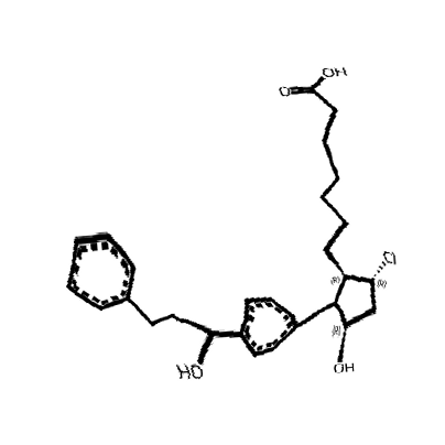 O=C(O)CCCCCC[C@@H]1C(c2ccc(C(O)CCc3ccccc3)cc2)[C@H](O)C[C@H]1Cl